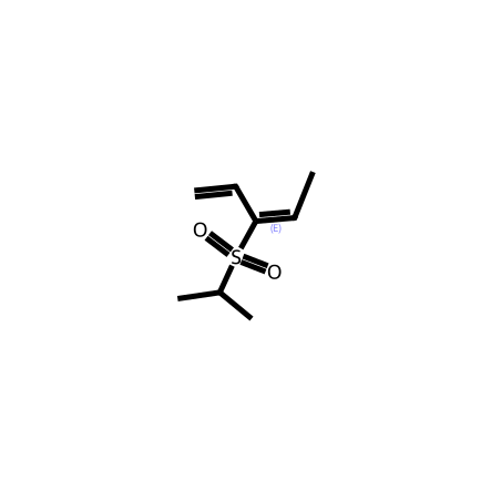 C=C/C(=C\C)S(=O)(=O)C(C)C